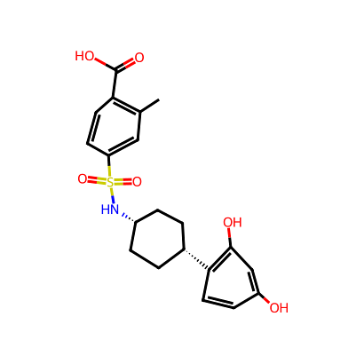 Cc1cc(S(=O)(=O)N[C@H]2CC[C@@H](c3ccc(O)cc3O)CC2)ccc1C(=O)O